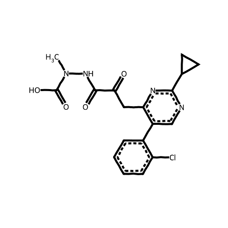 CN(NC(=O)C(=O)Cc1nc(C2CC2)ncc1-c1ccccc1Cl)C(=O)O